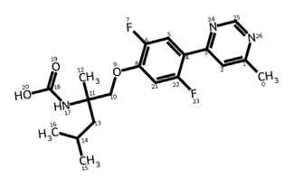 Cc1cc(-c2cc(F)c(OCC(C)(CC(C)C)NC(=O)O)cc2F)ncn1